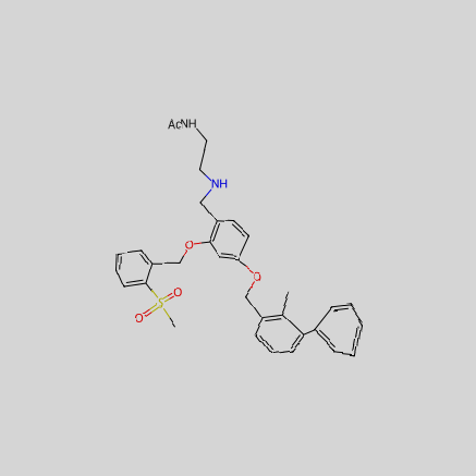 CC(=O)NCCNCc1ccc(OCc2cccc(-c3ccccc3)c2C)cc1OCc1ccccc1S(C)(=O)=O